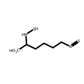 O=C(O)C(CCCCN=S)NS